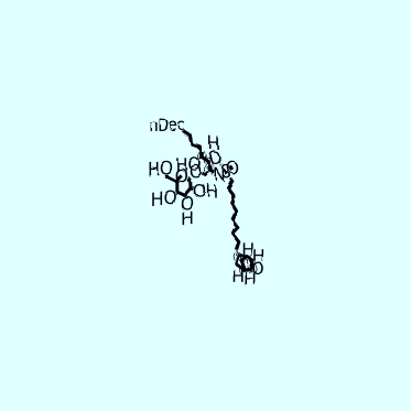 CCCCCCCCCCCCCC[C@@H](O)[C@@H](O)[C@H](COC1OC(CO)C(O)C(O)C1O)N=S(C)(=O)CCCCCCCCCC[C@H]1C[C@@H]2C[C@H]1[C@H]1O[C@@H]21